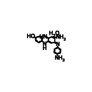 N=C1C=C(N)C(=Nc2ccc(N)cc2)C=C1Nc1ccc(O)cc1.O